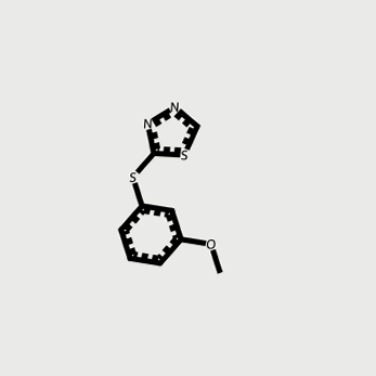 COc1cccc(Sc2nncs2)c1